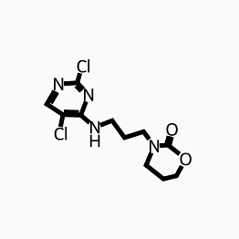 O=C1OCCCN1CCCNc1nc(Cl)ncc1Cl